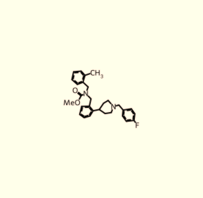 COC(=O)N(Cc1ccccc1C)Cc1ccccc1C1CCN(Cc2ccc(F)cc2)CC1